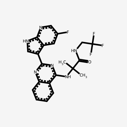 CC(C)(Nc1nc(-c2c[nH]c3ncc(F)cc23)nc2ccccc12)C(=O)NCC(F)(F)F